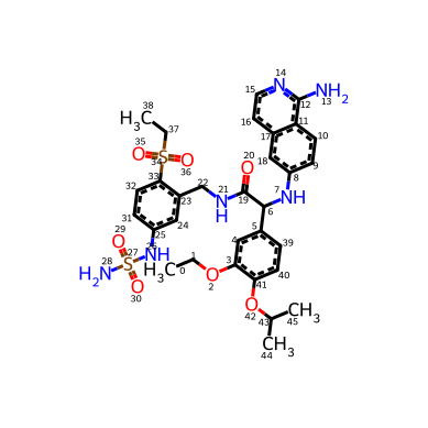 CCOc1cc(C(Nc2ccc3c(N)nccc3c2)C(=O)NCc2cc(NS(N)(=O)=O)ccc2S(=O)(=O)CC)ccc1OC(C)C